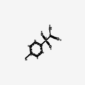 CCC(=O)S(=O)(=O)c1ccc(C)cc1